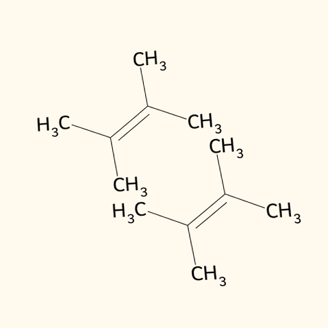 CC(C)=C(C)C.CC(C)=C(C)C